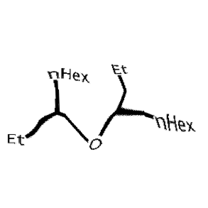 CCCCCCC(CC)OC(CC)CCCCCC